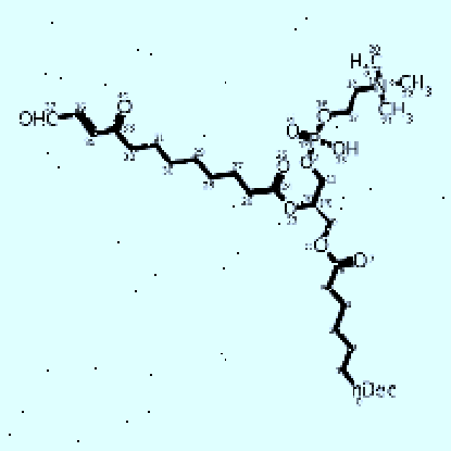 CCCCCCCCCCCCCCCC(=O)OC[C@H](COP(=O)(O)OCC[N+](C)(C)C)OC(=O)CCCCCCCC(=O)C=CC=O